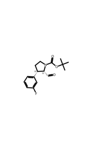 CC(C)(C)OC(=O)N1CC[C@@H](c2cccc(F)c2)[C@H]1C=O